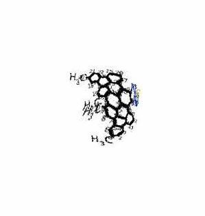 Cc1ccc2c(c1)c1cc(C)c3c4c(C)cc5c6cc(C)ccc6c6cccc7c6c5c4c4c7c5nsnc5c5c6cccc2c6c1c3c54